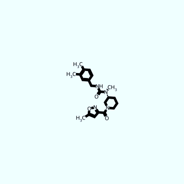 Cc1cc(C(=O)N2CCC[C@@H](N(C)C(=O)NCc3ccc(C)c(C)c3)C2)no1